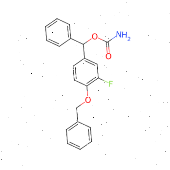 NC(=O)OC(c1ccccc1)c1ccc(OCc2ccccc2)c(F)c1